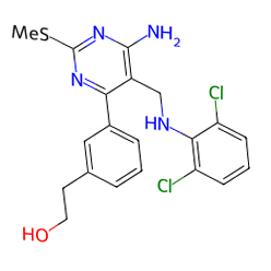 CSc1nc(N)c(CNc2c(Cl)cccc2Cl)c(-c2cccc(CCO)c2)n1